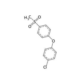 CS(=O)(=O)c1ccc(Oc2ccc(Cl)cc2)cc1